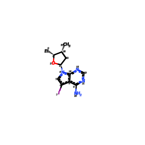 CC[C@H]1O[C@@H](n2cc(I)c3c(N)ncnc32)C[C@H]1C